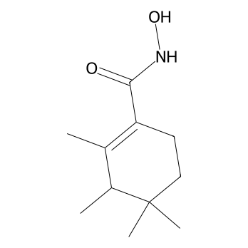 CC1=C(C(=O)NO)CCC(C)(C)C1C